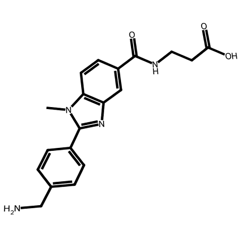 Cn1c(-c2ccc(CN)cc2)nc2cc(C(=O)NCCC(=O)O)ccc21